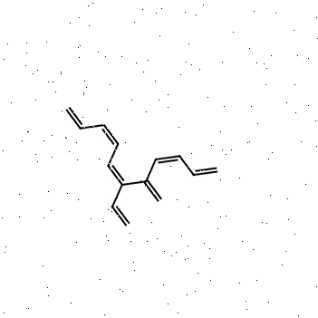 C=C/C=C\C=C(\C=C)C(=C)/C=C\C=C